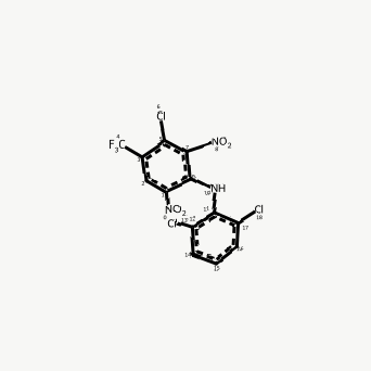 O=[N+]([O-])c1cc(C(F)(F)F)c(Cl)c([N+](=O)[O-])c1Nc1c(Cl)cccc1Cl